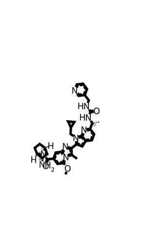 COc1cc(C(=O)N2[C@H]3CC[C@@H]2[C@H](N)C3)cc2nc(-c3cc4ccc([C@@H](C)NC(=O)NCc5cccnc5)nc4n3CC3CC3)c(C)n12